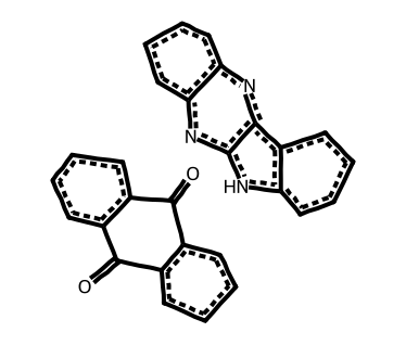 O=C1c2ccccc2C(=O)c2ccccc21.c1ccc2nc3c(nc2c1)[nH]c1ccccc13